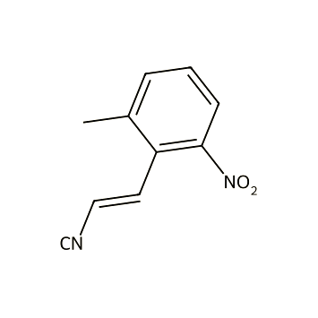 [C-]#[N+]C=Cc1c(C)cccc1[N+](=O)[O-]